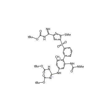 CNC(=O)Nc1cc(N/C(=N/C(=O)OC(C)(C)C)NC(=O)OC(C)(C)C)cc(C)c1-c1cccc(S(=O)(=O)c2cc(C(=N)NC(=O)OC(C)(C)C)sc2SC)c1